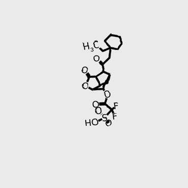 CCC1(CC(=O)C2C3CC4C(OC(=O)C42)C3OC(=O)C(F)(F)S(=O)(=O)O)CCCCC1